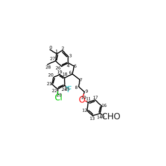 Cc1ccc(CC(CCCOc2ccc(C=O)cc2)c2cccc(Cl)c2F)cc1C